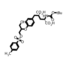 Cc1ccc(S(=O)(=O)OCC(CO)Oc2ccc(C[C@@H](C[C@H](NC(=O)OC(C)(C)C)C(=O)O)C(=O)O)cc2)cc1